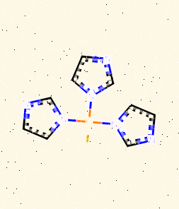 S[PH](n1ccnc1)(n1ccnc1)n1ccnc1